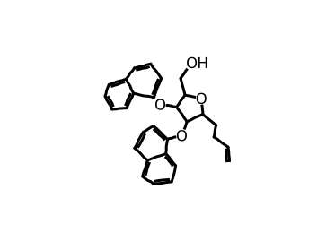 C=CCCC1OC(CO)C(Oc2cccc3ccccc23)C1Oc1cccc2ccccc12